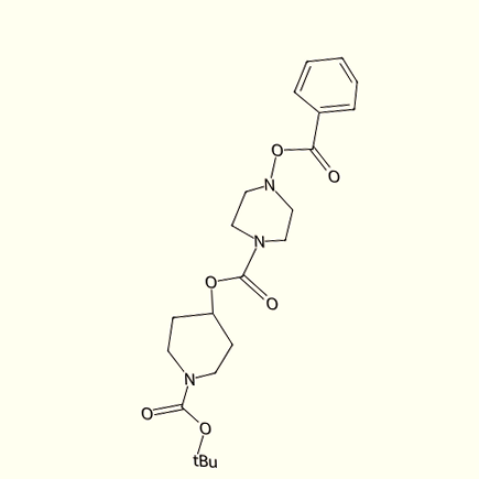 CC(C)(C)OC(=O)N1CCC(OC(=O)N2CCN(OC(=O)c3ccccc3)CC2)CC1